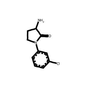 NC1CCN(c2cccc(Cl)c2)C1=O